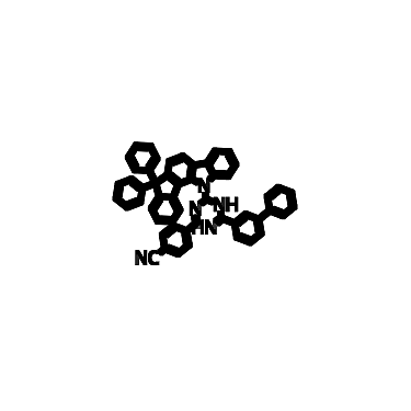 N#Cc1ccc(/C=N/C(NC(=N)c2cccc(-c3ccccc3)c2)n2c3ccccc3c3ccc4c(c32)-c2ccccc2C4(c2ccccc2)c2ccccc2)cc1